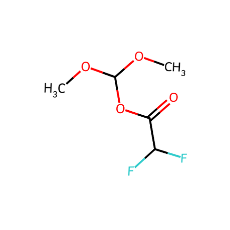 COC(OC)OC(=O)C(F)F